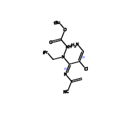 C=C(C#N)/N=C(\C(Cl)=C/N)N(CC(C)C)NC(=O)OC(C)(C)C